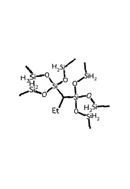 [CH2]CC([Si](O[SiH2]C)(O[SiH2]C)O[SiH2]C)[Si](O[SiH2]C)(O[SiH2]C)O[SiH2]C